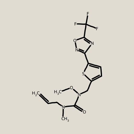 C=CCN(C)C(=O)N(Cc1ccc(-c2noc(C(F)(F)F)n2)s1)OC